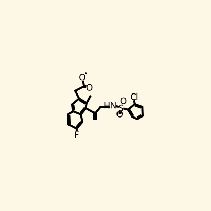 C=C(CCNS(=O)(=O)c1ccccc1Cl)c1c(C)c(CC(=O)OC)cc2ccc(F)cc12